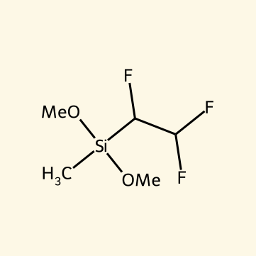 CO[Si](C)(OC)C(F)C(F)F